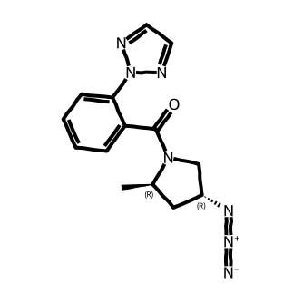 C[C@@H]1C[C@@H](N=[N+]=[N-])CN1C(=O)c1ccccc1-n1nccn1